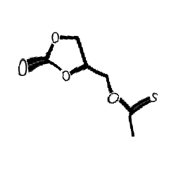 CC(=S)OCC1COC(=O)O1